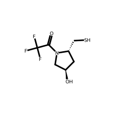 O=C(N1C[C@H](O)C[C@H]1CS)C(F)(F)F